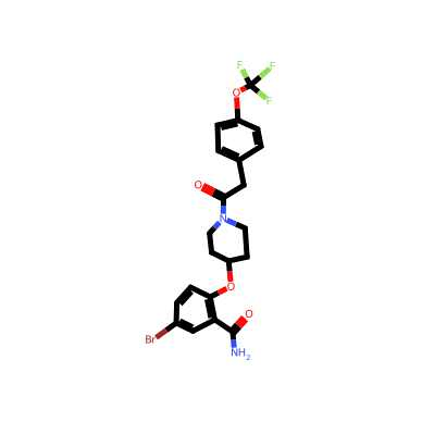 NC(=O)c1cc(Br)ccc1OC1CCN(C(=O)Cc2ccc(OC(F)(F)F)cc2)CC1